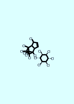 ClC1=C(Cl)C2(Cl)C3C(Cl)C=CC3C1(Cl)C2(Cl)Cl.Cl[C@H]1[C@H](Cl)[C@@H](Cl)[C@@H](Cl)[C@H](Cl)[C@H]1Cl